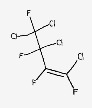 FC(Cl)=C(F)C(F)(Cl)C(F)(Cl)Cl